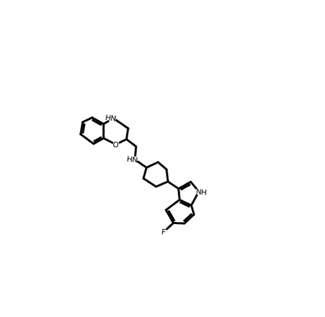 Fc1ccc2[nH]cc(C3CCC(NCC4CNc5ccccc5O4)CC3)c2c1